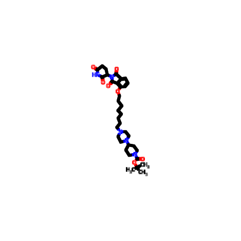 CC(C)(C)OC(=O)N1CCC(N2CCN(CCCCCCCCOc3cccc4c3C(=O)N(C3CCC(=O)NC3=O)C4=O)CC2)CC1